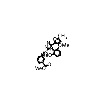 COC(=O)c1cccc(CSc2nnc(-c3ccc(C)o3)n2-c2c(OC)cccc2OC)c1